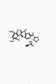 C#CC(=O)N[C@H]1CCC[C@H]1Nc1cc2c(cn1)cc(-c1c(Cl)c(OC)cc(OC)c1Cl)c(=O)n2C